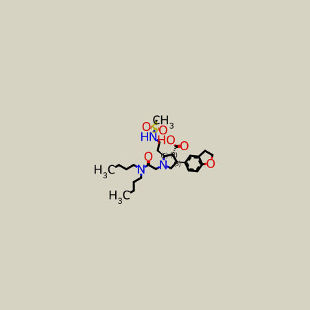 CCCCN(CCCC)C(=O)CN1C[C@H](c2ccc3c(c2)CCO3)[C@@H](C(=O)O)[C@@H]1CCNS(C)(=O)=O